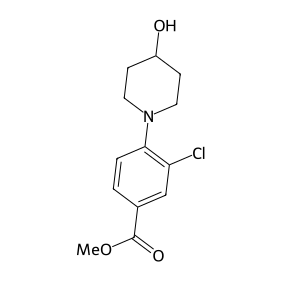 COC(=O)c1ccc(N2CCC(O)CC2)c(Cl)c1